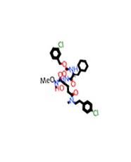 CON(C)C(=O)C(O)(CCC(=O)N(C)CCc1ccc(Cl)cc1)NC(=O)[C@H](CC1CCCCC1)NC(=O)OCc1cccc(Cl)c1